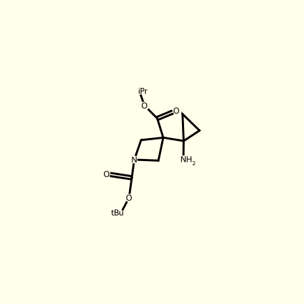 CC(C)OC(=O)C1(C2(N)CC2)CN(C(=O)OC(C)(C)C)C1